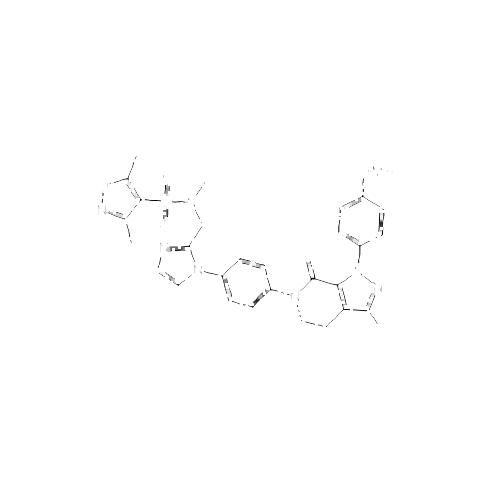 COc1ccc(-n2nc(C(F)(F)F)c3c2C(=O)N(c2ccc(-n4ccnc4CN(C)S(=O)(=O)c4c(C)noc4C)cc2)CC3)cc1